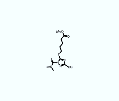 CCC(C)c1nc(SCCCCC(=O)OC)n(C(=O)N(C)C)n1